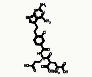 Nc1nc(N)c2c(CCc3ccc(C(=O)N[C@@H](CCC(=O)O)C(=O)C(C[C@H](N)C(=O)O)C(=O)O)cc3Cl)c[nH]c2n1